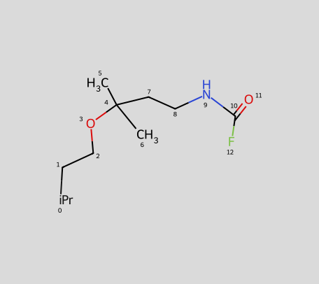 CC(C)CCOC(C)(C)CCNC(=O)F